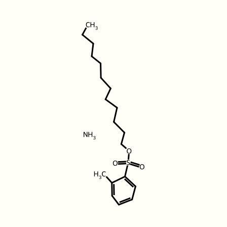 CCCCCCCCCCCCOS(=O)(=O)c1ccccc1C.N